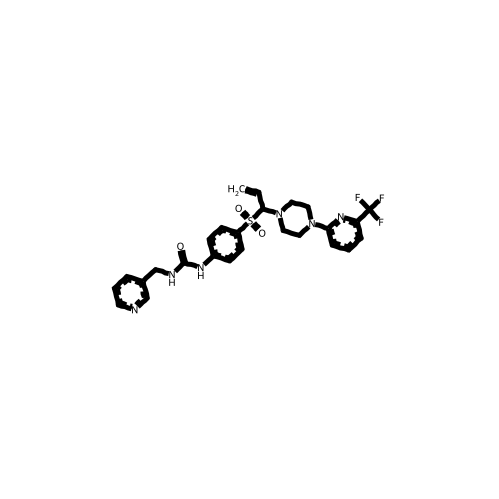 C=CC(N1CCN(c2cccc(C(F)(F)F)n2)CC1)S(=O)(=O)c1ccc(NC(=O)NCc2cccnc2)cc1